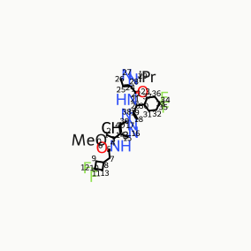 CO[C@@H](C)[C@@H](NC(=O)CC1CC(F)(F)C1)c1cnn2cc([C@@H](NC(=O)c3ccnn3C(C)C)C3CCC(F)(F)CC3)nc2c1